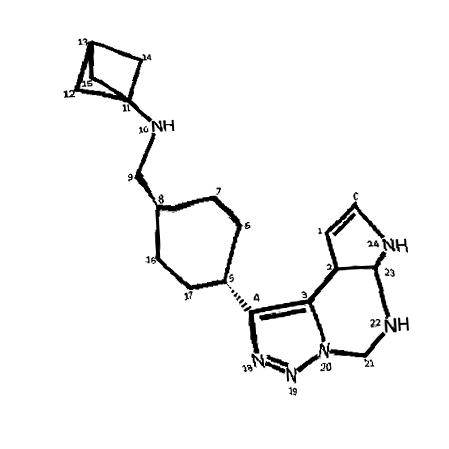 C1=CC2c3c([C@H]4CC[C@H](CNC56CC(C5)C6)CC4)nnn3CNC2N1